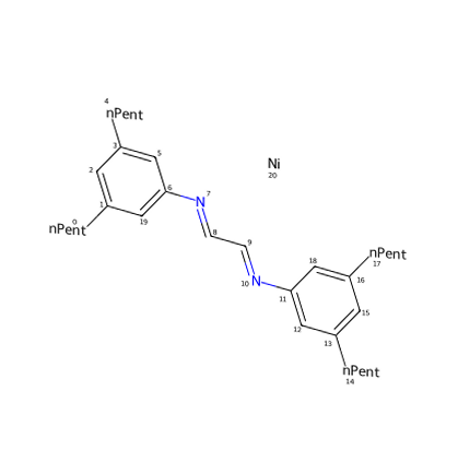 CCCCCc1cc(CCCCC)cc(N=CC=Nc2cc(CCCCC)cc(CCCCC)c2)c1.[Ni]